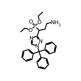 CCOP(=O)(OCC)C(CCN)c1ncn(C(c2ccccc2)(c2ccccc2)c2ccccc2)n1